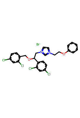 Clc1ccc(COC(C[n+]2ccn(CCOc3ccccc3)c2)c2ccc(Cl)cc2Cl)c(Cl)c1.[Br-]